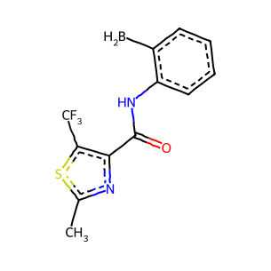 Bc1ccccc1NC(=O)c1nc(C)sc1C(F)(F)F